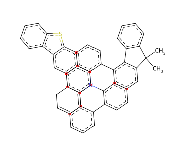 CC1(C)c2ccccc2-c2c(-c3ccccc3N(C3=CC=CCC3c3ccc4sc5ccccc5c4c3)c3ccccc3-c3ccccc3-c3ccccc3)cccc21